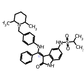 CC1CCCC(C)N1Cc1ccc(N/C(=C2/C(=O)Nc3ccc(NS(=O)(=O)C(C)C)cc32)c2ccccc2)cc1